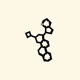 [C]1=CC(C2=c3ccc4c(c3CC(C3CCC3)C2)CC=c2ccccc2=4)c2ncccc21